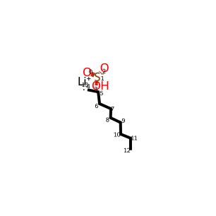 O=[S-](=O)O.[CH2]CCCCCCCC.[Li+]